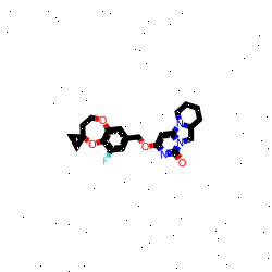 O=c1nc(OCc2cc(F)c3c(c2)OCCC2(CC2)O3)cc2n1CC1CCCCN21